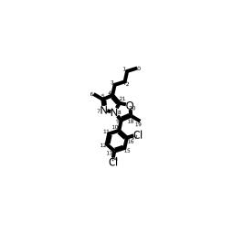 CC[CH]Cc1c(C)nn2c(-c3ccc(Cl)cc3Cl)c(C)oc12